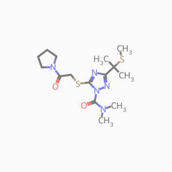 CSC(C)(C)c1nc(SCC(=O)N2CCCC2)n(C(=O)N(C)C)n1